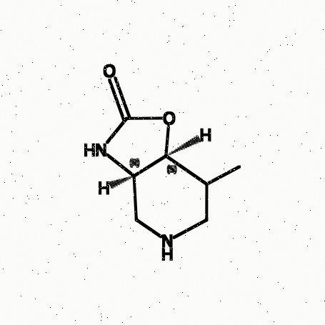 CC1CNC[C@H]2NC(=O)O[C@@H]12